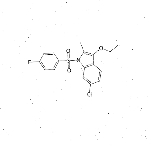 [CH2]COc1c(C)n(S(=O)(=O)c2ccc(F)cc2)c2cc(Cl)ccc12